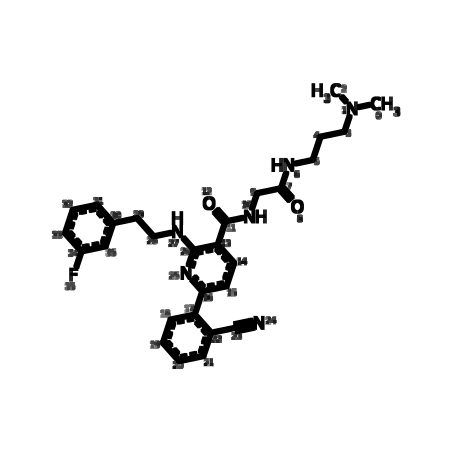 CN(C)CCCNC(=O)CNC(=O)c1ccc(-c2ccccc2C#N)nc1NCCc1cccc(F)c1